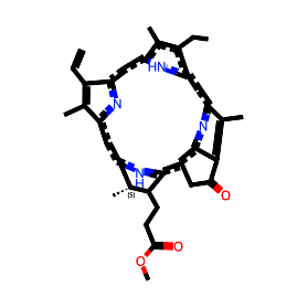 C=CC1=C(C)c2cc3[nH]c(c4c5nc(cc6[nH]c(cc1n2)c(C)c6CC)C(C)=C5C(=O)C4)C(CCC(=O)OC)[C@@H]3C